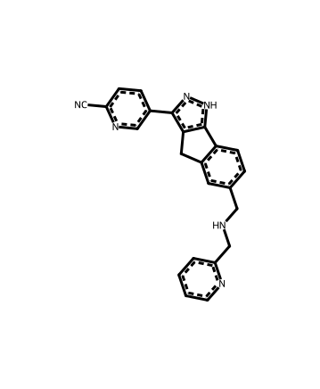 N#Cc1ccc(-c2n[nH]c3c2Cc2cc(CNCc4ccccn4)ccc2-3)cn1